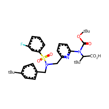 CC(C)(C)OC(=O)N(c1cccc(CN(Cc2ccc(C(C)(C)C)cc2)S(=O)(=O)c2cccc(F)c2)n1)C(C(=O)O)C(C)(C)C